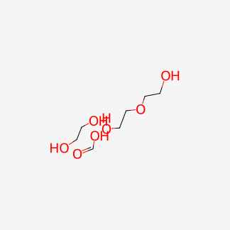 O=CO.OCCO.OCCOCCO